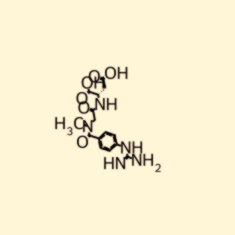 CN(CC(=O)N[C@@H](CC(=O)O)C(=O)O)C(=O)c1ccc(NC(=N)N)cc1